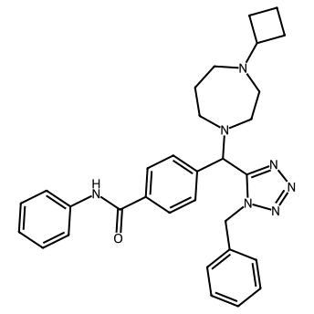 O=C(Nc1ccccc1)c1ccc(C(c2nnnn2Cc2ccccc2)N2CCCN(C3CCC3)CC2)cc1